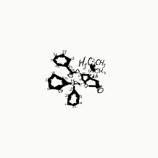 CC(C)(C)[C@@H]1[C@H]2CC(=O)O[C@@]2(CO[SiH](c2ccccc2)c2ccccc2)C[C@H]1OC(=O)c1ccccc1